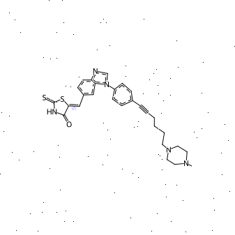 CN1CCN(CCCCC#Cc2ccc(-n3cnc4ccc(/C=C5\SC(=S)NC5=O)cc43)cc2)CC1